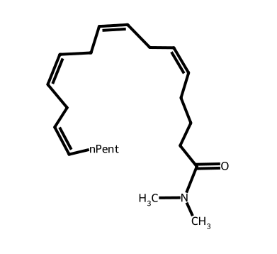 CCCCC/C=C\C/C=C\C/C=C\C/C=C\CCCC(=O)N(C)C